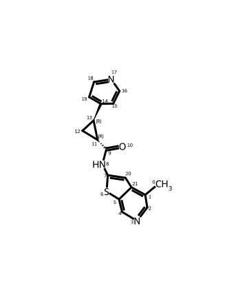 Cc1cncc2sc(NC(=O)[C@@H]3C[C@H]3c3ccncc3)cc12